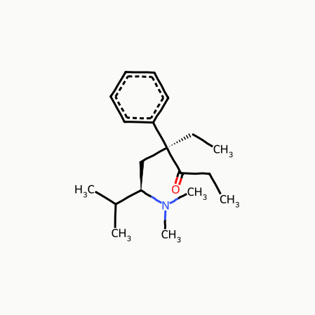 CCC(=O)[C@@](CC)(C[C@H](C(C)C)N(C)C)c1ccccc1